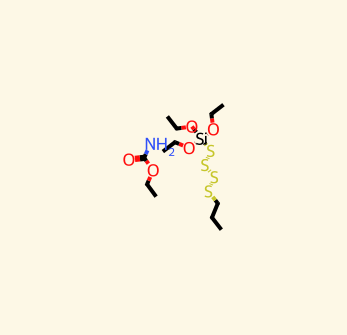 CCCSSSS[Si](OCC)(OCC)OCC.CCOC(N)=O